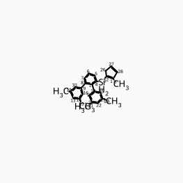 CC1=C([SiH2]c2cccc(-c3cc(C)cc(C)c3)c2-c2cc(C)cc(C)c2)CC=C1